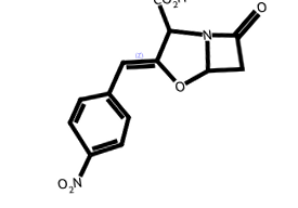 O=C(O)C1/C(=C/c2ccc([N+](=O)[O-])cc2)OC2CC(=O)N21